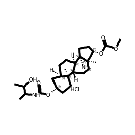 COC(=O)O[C@H]1CC[C@]2(N)[C@@H]3CC[C@@H]4C[C@@H](OC(=O)NC(C)C(C)O)CC[C@]4(C)[C@H]3CC[C@]12C.Cl